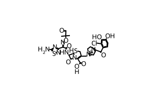 CC(C)(C=O)O/N=C(\C(=O)N[C@@H]1C(=O)N2C(C(=O)O)=C(C[N+]34CCC(CC3)N(C(=O)c3ccc(O)c(O)c3Cl)CC4)CS[C@H]12)c1nsc(N)n1